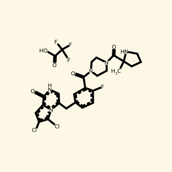 CC1(C(=O)N2CCN(C(=O)c3cc(Cc4c[nH]c(=O)c5cc(Cl)c(Cl)n45)ccc3F)CC2)CCCN1.O=C(O)C(F)(F)F